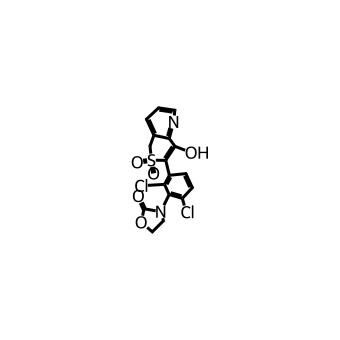 O=C1OCCN1c1c(Cl)ccc(C2=C(O)c3ncccc3CS2(=O)=O)c1Cl